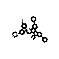 CCC1(CC)c2cc(-c3ccccc3)ccc2-c2c1c1c(c3cc(-c4ccccc4)ccc23)OC(c2ccc(OC)cc2)(c2ccc(N3CCOCC3)cc2)C=C1